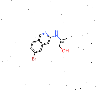 C[C@@H](CO)Nc1cc2cc(Br)ccc2cn1